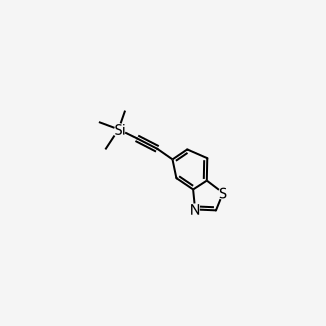 C[Si](C)(C)C#Cc1ccc2scnc2c1